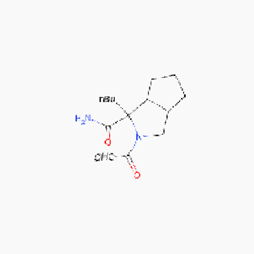 CCCCC1(C(N)=O)C2CCCC2CN1C(=O)C=O